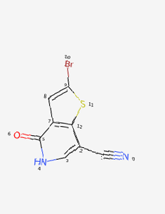 N#Cc1c[nH]c(=O)c2cc(Br)sc12